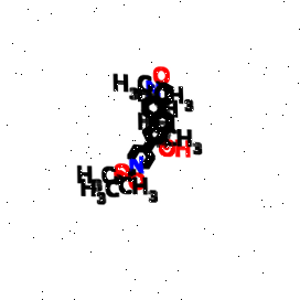 CN1C(=O)C=C[C@]2(C)[C@H]3CC[C@]4(C)[C@@H](O)C(=C5CCN(C(=O)OC(C)(C)C)CC5)C[C@H]4[C@@H]3CC[C@@H]12